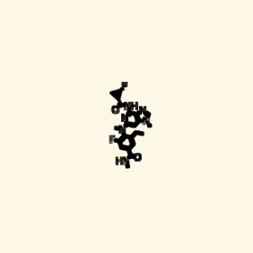 CCc1cc(C(=O)NC)cc(F)c1N(C)c1cc2c(ncn2C)c(NC(=O)[C@H]2C[C@H]2F)n1